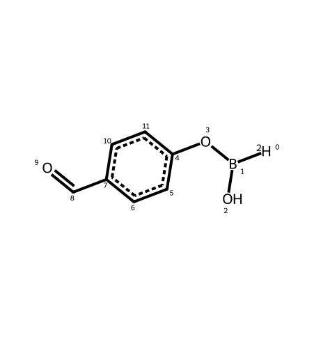 [2H]B(O)Oc1ccc(C=O)cc1